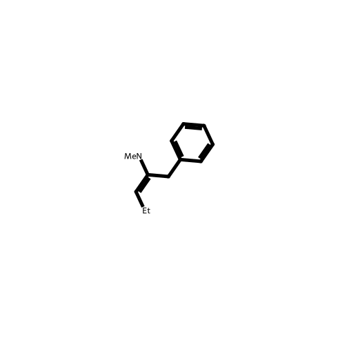 CC/C=C(\Cc1ccccc1)NC